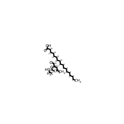 CCCCCCCCCCCCCCCCCC(=O)O.CCCCC[O].CCO.CCO